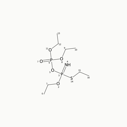 CCOP(=N)(OP(=O)(OCC)OCC)SCC